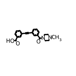 CN1CCN(C(=O)c2cccc(C#Cc3cccc(C(=O)O)c3)c2)CC1